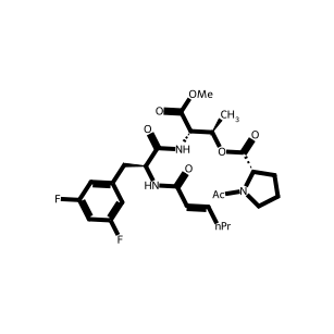 CCC/C=C/C(=O)N[C@@H](Cc1cc(F)cc(F)c1)C(=O)N[C@H](C(=O)OC)[C@@H](C)OC(=O)[C@@H]1CCCN1C(C)=O